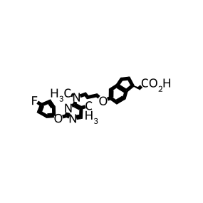 Cc1cnc(Oc2ccc(F)cc2)nc1N(C)CCCOc1ccc2c(c1)CC[C@H]2CC(=O)O